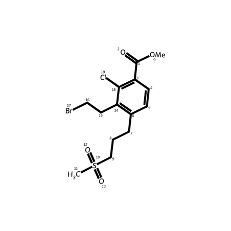 COC(=O)c1ccc(CCCS(C)(=O)=O)c(CCBr)c1Cl